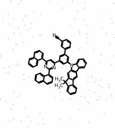 CC1(C)c2ccccc2-c2cc3c4ccccc4n(-c4cc(-c5cccc(C#N)c5)cc(-c5cc(-c6cccc7ccccc67)nc(-c6cccc7ccccc67)n5)c4)c3cc21